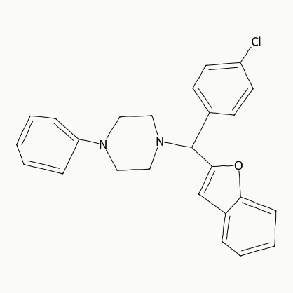 Clc1ccc(C(c2cc3ccccc3o2)N2CCN(c3ccccc3)CC2)cc1